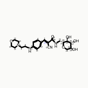 N#C/C(=C\c1ccc(NCCN2CCOCC2)cc1)C(=O)NC[C@H]1OC[C@H](O)[C@@H](O)[C@@H]1O